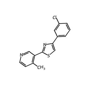 Cc1ccncc1-c1nc(-c2cccc(Cl)c2)cs1